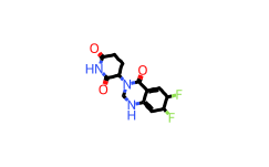 O=C1CCC(N2CNC3=CC(F)C(F)C=C3C2=O)C(=O)N1